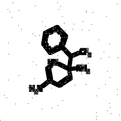 NC1=CNC(N)(C(c2ccccc2)C(F)(F)F)C=C1